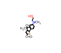 CN(CCO)c1ccc2c(c1)C(C)(C)c1cc(C=O)sc1-2